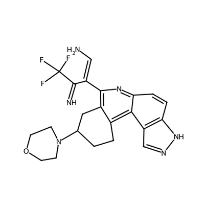 N=C(/C(=C\N)c1nc2ccc3[nH]ncc3c2c2c1CC(N1CCOCC1)CC2)C(F)(F)F